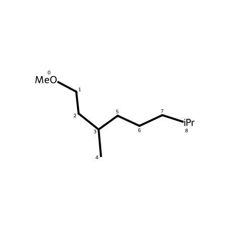 [CH2]OCCC(C)CCCC(C)C